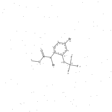 COC(=O)C(Br)c1ccc(Br)cc1OC(F)(F)F